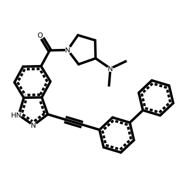 CN(C)C1CCN(C(=O)c2ccc3[nH]nc(C#Cc4cccc(-c5ccccc5)c4)c3c2)C1